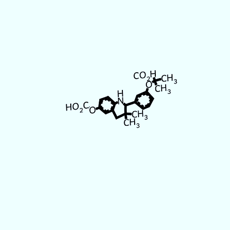 CC(C)(Oc1cccc(C2Nc3ccc(OC(=O)O)cc3CC2(C)C)c1)C(=O)O